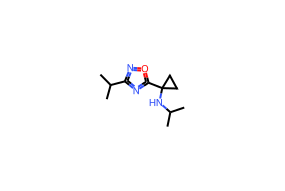 CC(C)NC1(c2nc(C(C)C)no2)CC1